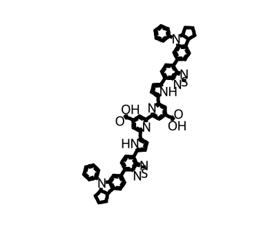 O=C(O)c1cc(-c2cc(C(=O)O)cc(-c3ccc(-c4ccc(-c5ccc6c(c5)N(c5ccccc5)C5CCCC65)c5nsnc45)[nH]3)n2)nc(-c2ccc(-c3ccc(-c4ccc5c(c4)N(c4ccccc4)C4CCCC54)c4nsnc34)[nH]2)c1